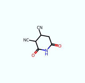 N#CC1CC(=O)NC(=O)C1C#N